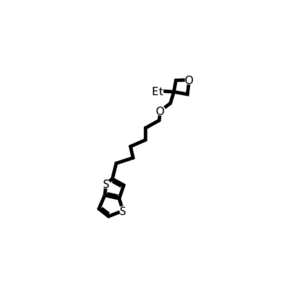 CCC1(COCCCCCCc2cc3sccc3s2)COC1